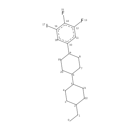 CCC1CCC(C2CCC(c3cc(F)c(F)c(I)c3)CC2)CC1